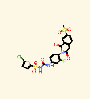 CS(=O)(=O)c1ccc2c(c1)C(=O)N(c1ccc(NC(=O)NS(=O)(=O)c3ccc(Cl)s3)cc1F)C(=O)C2